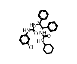 O=C(Nc1cccc(Cl)c1)N[C@@H](c1ccccc1)[C@@H](NC(=O)NC1CCCCC1)c1ccccc1